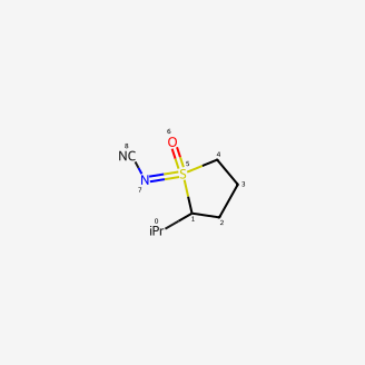 CC(C)C1CCCS1(=O)=NC#N